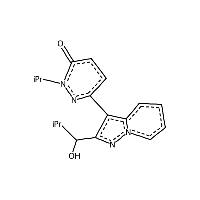 CC(C)C(O)c1nn2ccccc2c1-c1ccc(=O)n(C(C)C)n1